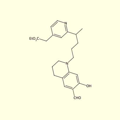 CCOC(=O)Cc1ccnc(C(C)CCCN2CCCc3cc(C=O)c(O)cc32)c1